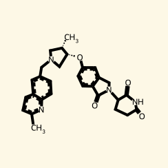 Cc1ccc2cc(CN3C[C@H](C)[C@H](Oc4ccc5c(c4)CN(C4CCC(=O)NC4=O)C5=O)C3)ccc2n1